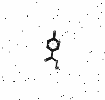 O=C(OS)c1ccc(=O)oc1